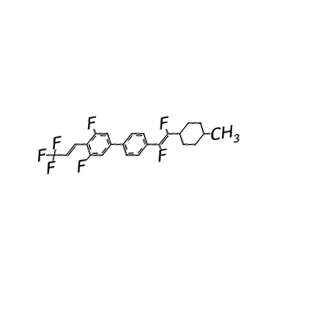 CC1CCC(/C(F)=C(\F)c2ccc(-c3cc(F)c(/C=C/C(F)(F)F)c(F)c3)cc2)CC1